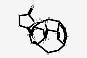 O=C(ON1C(=O)CCC1=O)C1=CC2=C=C=C1CCC1=CC=C(CC2)CC1